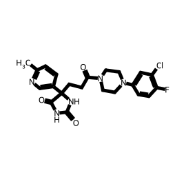 Cc1ccc(C2(CCC(=O)N3CCN(c4ccc(F)c(Cl)c4)CC3)NC(=O)NC2=O)cn1